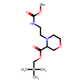 CC(C)(C)OC(=O)NCCN1CCOCC1C(=O)OC[Si](C)(C)C